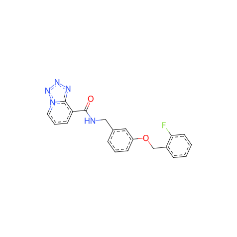 O=C(NCc1cccc(OCc2ccccc2F)c1)c1cccn2nnnc12